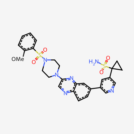 COc1ccccc1S(=O)(=O)N1CCN(c2cnc3ccc(-c4cncc(C5(S(N)(=O)=O)CC5)c4)cc3n2)CC1